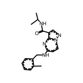 Cc1ccccc1CNc1ccn2ncc(C(=O)NC(C)C)c2n1